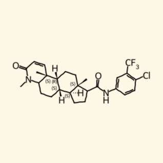 CN1C(=O)C=C[C@@]2(C)C1CC[C@@H]1[C@H]2CC[C@]2(C)C(C(=O)Nc3ccc(Cl)c(C(F)(F)F)c3)CC[C@@H]12